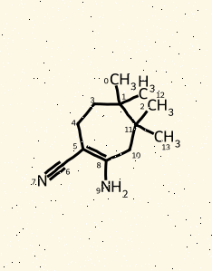 CC1(C)CCC(C#N)=C(N)CC1(C)C